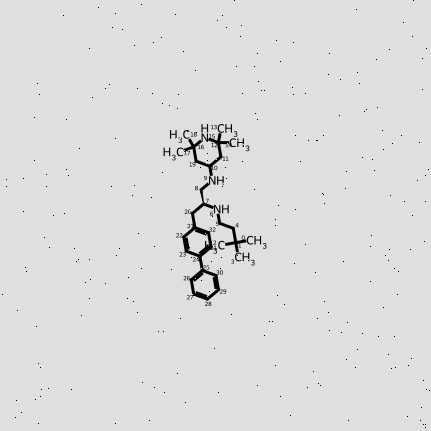 CC(C)(C)CCN[C@H](CNC1CC(C)(C)NC(C)(C)C1)Cc1ccc(-c2ccccc2)cc1